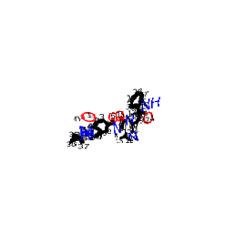 COc1cc(C(=O)N(C)[C@@H](CC(C)C)C(=O)N2C[C@]3(C[C@H]2C#N)C(=O)Nc2ccccc23)cc2cn(C3(C)CC3)nc12